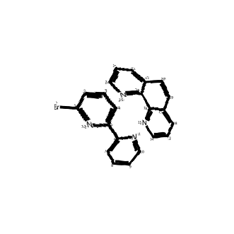 Brc1cccc(-c2ccccn2)n1.c1cnc2c(c1)ccc1cccnc12